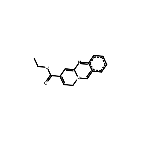 CCOC(=O)C1=CCN2C=c3ccccc3=NC2=C1